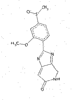 COc1cc([S+](C)[O-])ccc1C1=NC2=CC(=O)NCC2=N1